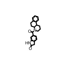 O=C1Cc2ccc(C(=O)N3CCCC4c5ccccc5CCC43)cc2N1